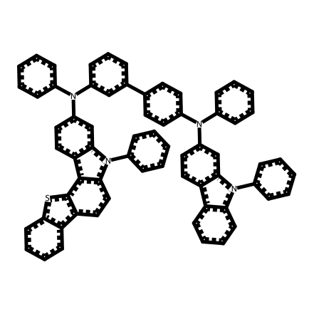 c1ccc(N(c2ccc(-c3cccc(N(c4ccccc4)c4ccc5c6c7sc8ccccc8c7ccc6n(-c6ccccc6)c5c4)c3)cc2)c2ccc3c4ccccc4n(-c4ccccc4)c3c2)cc1